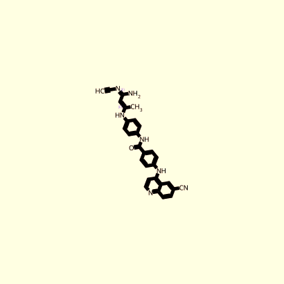 C#C/N=C(N)\C=C(/C)Nc1ccc(NC(=O)c2ccc(Nc3ccnc4ccc(C#N)cc34)cc2)cc1